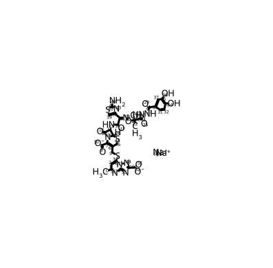 Cc1cc(SCC2=C(C(=O)[O-])N3C(=O)[C@@H](NC(=O)/C(=N\OC(C)(C)C(=O)NNC(=O)c4ccc(O)c(O)c4)c4csc(N)n4)[C@H]3SC2)n2nc(C(=O)[O-])nc2n1.[Na+].[Na+]